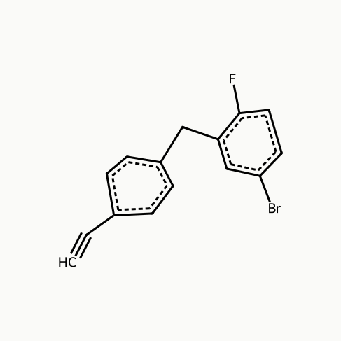 C#Cc1ccc(Cc2cc(Br)ccc2F)cc1